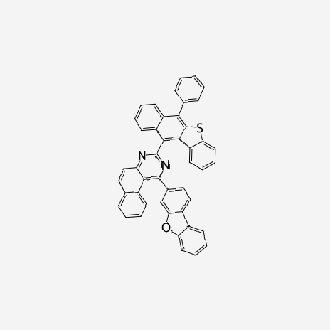 c1ccc(-c2c3ccccc3c(-c3nc(-c4ccc5c(c4)oc4ccccc45)c4c(ccc5ccccc54)n3)c3c2sc2ccccc23)cc1